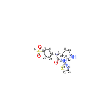 CS(=O)(=O)c1ccc(/C(=C/C2CCNCC2)C(=O)Nc2nccs2)cc1